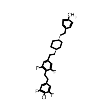 Cc1ccc(CC[C@H]2CC[C@H](CCc3cc(F)c(CCc4cc(F)c(Cl)c(F)c4)c(F)c3)CC2)cc1